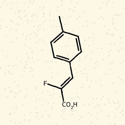 Cc1ccc(C=C(F)C(=O)O)cc1